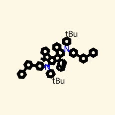 CC(C)(C)c1ccc(N(c2ccc(-c3cccc(-c4ccccc4)c3)cc2)c2cc3c(c4c2C(C)(C)c2ccccc2-4)-c2c(cc(N(c4ccc(-c5cccc(-c6ccccc6)c5)cc4)c4ccc(C(C)(C)C)cc4)c4ccccc24)C32C3CC4CC(C3)CC2C4)cc1